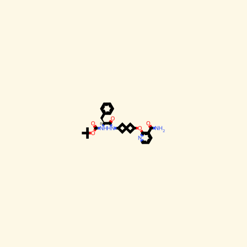 CC(C)(C)OC(=O)N[C@@H](Cc1ccccc1)C(=O)NC1CC2(C1)CC(Oc1ncccc1C(N)=O)C2